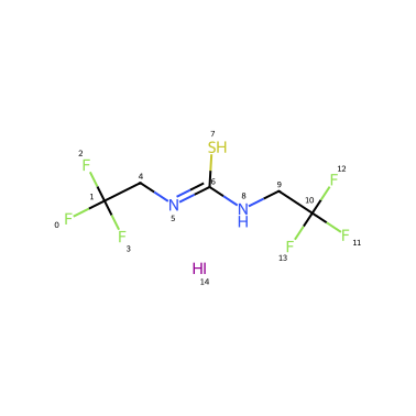 FC(F)(F)CN=C(S)NCC(F)(F)F.I